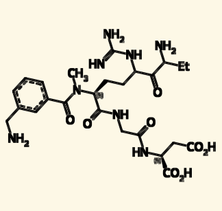 CCC(N)C(=O)C(CC[C@@H](C(=O)NCC(=O)N[C@@H](CC(=O)O)C(=O)O)N(C)C(=O)c1cccc(CN)c1)NC(=N)N